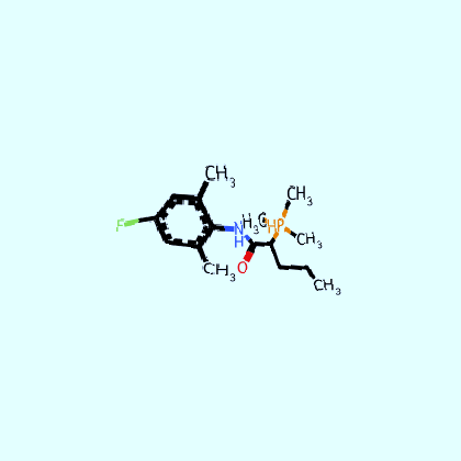 CCCC(C(=O)Nc1c(C)cc(F)cc1C)[PH](C)(C)C